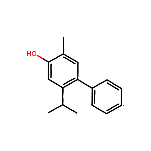 Cc1cc(-c2cc[c]cc2)c(C(C)C)cc1O